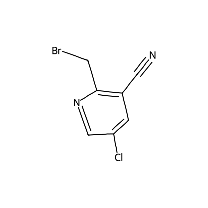 N#Cc1cc(Cl)cnc1CBr